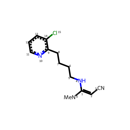 CN/C(=C/C#N)NCCCCc1ncccc1Cl